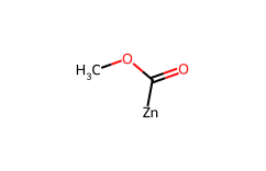 CO[C](=O)[Zn]